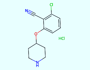 Cl.N#Cc1c(Cl)cccc1OC1CCNCC1